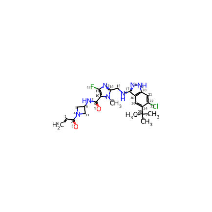 C=CC(=O)N1CC(NC(=O)c2c(F)nc(CNc3n[nH]c4cc(Cl)c(C(C)(C)C)cc34)n2C)C1